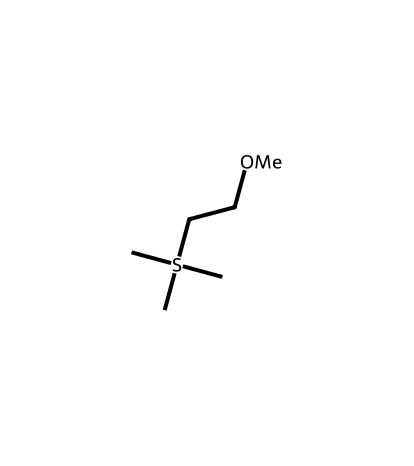 COCCS(C)(C)C